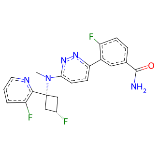 CN(c1ccc(-c2cc(C(N)=O)ccc2F)nn1)[C@]1(c2ncccc2F)C[C@H](F)C1